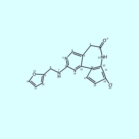 O=C1Cc2cnc(NCc3ccco3)nc2-c2ccc(Cl)cc2N1